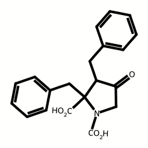 O=C1CN(C(=O)O)C(Cc2ccccc2)(C(=O)O)C1Cc1ccccc1